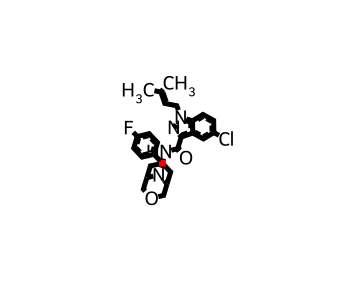 CC(C)=CCn1nc(C(=O)NC2CC3COCC(C2)N3Cc2ccc(F)cc2)c2cc(Cl)ccc21